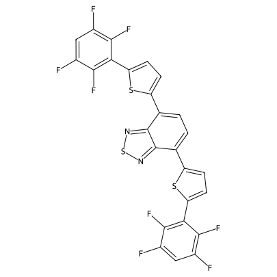 Fc1cc(F)c(F)c(-c2ccc(-c3ccc(-c4ccc(-c5c(F)c(F)cc(F)c5F)s4)c4nsnc34)s2)c1F